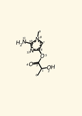 CC(O)C(=O)Oc1cn(C)c(N)n1